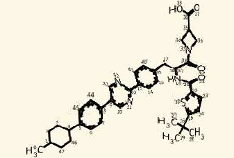 CC1CCC(c2ccc(-c3cnc(-c4ccc(C[C@H](NC(=O)c5ccc(C(C)(C)C)s5)C(=O)N5CC(C(=O)O)C5)cc4)nc3)cc2)CC1